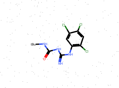 CC(C)(C)NC(=O)NC(=N)Nc1cc(Cl)c(Cl)cc1Cl